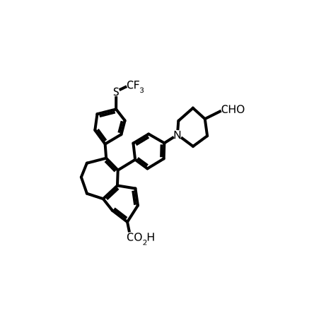 O=CC1CCN(c2ccc(C3=C(c4ccc(SC(F)(F)F)cc4)CCCc4cc(C(=O)O)ccc43)cc2)CC1